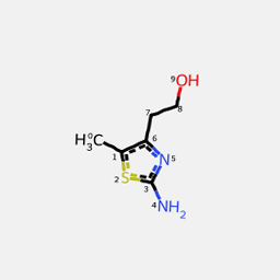 Cc1sc(N)nc1CCO